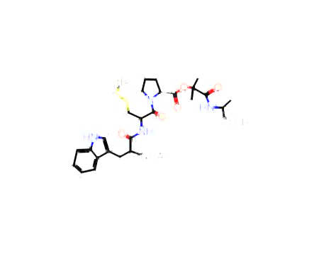 CC(=O)NC(Cc1c[nH]c2ccccc12)C(=O)NC(CSSC(C)(C)C)C(=O)N1CCC[C@H]1C(=O)OC(C)(C)C(=O)NC(C)C(=O)O